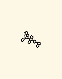 c1ccc(-c2cc(-c3c4ccccc4c(-c4ccc(-c5cccc6ccccc56)cc4)c4ccccc34)c3ccc4cccnc4c3n2)cc1